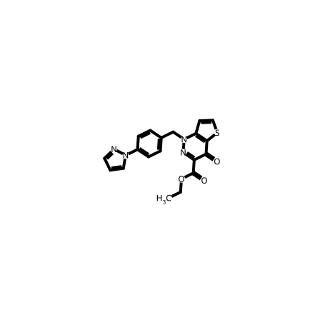 CCOC(=O)c1nn(Cc2ccc(-n3cccn3)cc2)c2ccsc2c1=O